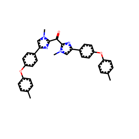 Cc1ccc(Oc2ccc(-c3cn(C)c(C(=O)c4nc(-c5ccc(Oc6ccc(C)cc6)cc5)cn4C)n3)cc2)cc1